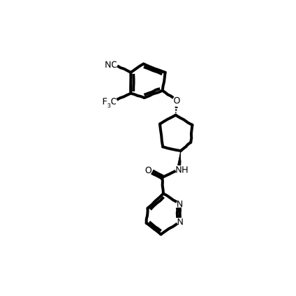 N#Cc1ccc(O[C@H]2CC[C@H](NC(=O)c3cccnn3)CC2)cc1C(F)(F)F